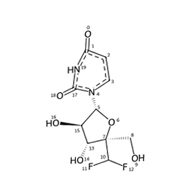 O=c1ccn([C@@H]2O[C@@](CO)(C(F)F)[C@H](O)[C@H]2O)c(=O)[nH]1